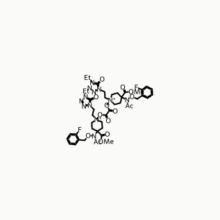 CCn1nnn(CC[N+]2(OC(=O)C(=O)O[N+]3(CCn4nnn(CC)c4=O)CCC(C(=O)OC)(N(OCc4ccccc4F)C(C)=O)CC3)CCC(C(=O)OC)(N(OCc3ccccc3F)C(C)=O)CC2)c1=O